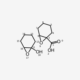 O=C(O)C12CCCCC1O2.OC12CCCCC1O2